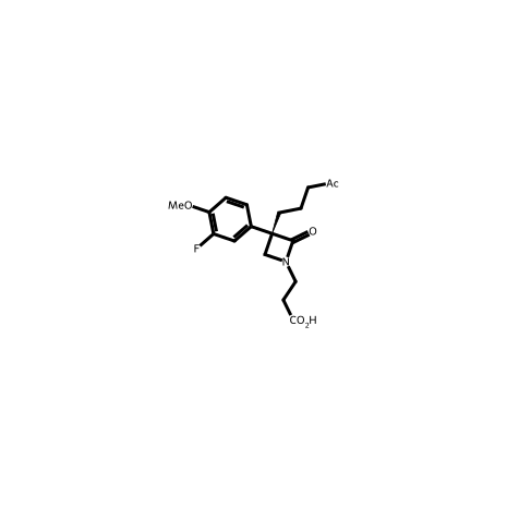 COc1ccc([C@@]2(CCCC(C)=O)CN(CCC(=O)O)C2=O)cc1F